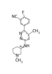 Cc1cc(N[C@@H]2CCCN(C)C2)nnc1-c1ccc(F)c(C#N)c1